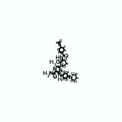 C[C@@H]1[C@H](NC(=O)c2ccc(C3CC3)cc2)CCCN1c1cnc(C(N)=O)c(Nc2ccc(N3CCCCC3)cc2)n1